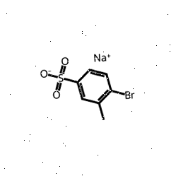 Cc1cc(S(=O)(=O)[O-])ccc1Br.[Na+]